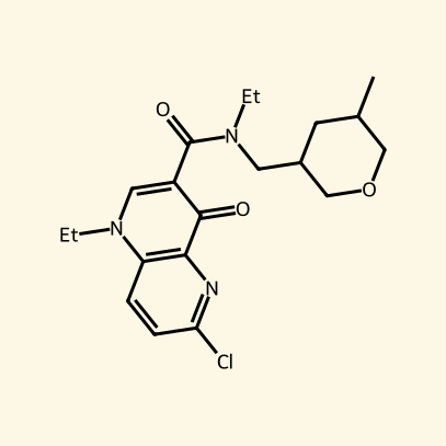 CCN(CC1COCC(C)C1)C(=O)c1cn(CC)c2ccc(Cl)nc2c1=O